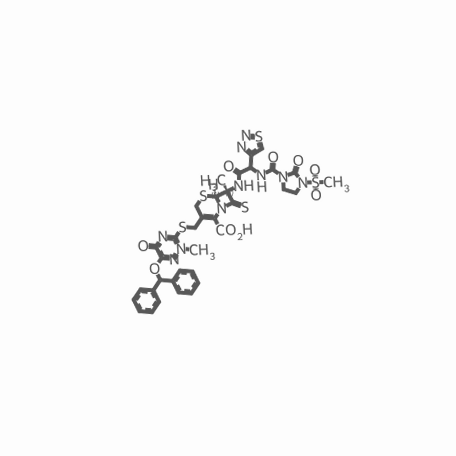 Cn1nc(OC(c2ccccc2)c2ccccc2)c(=O)nc1SCC1=C(C(=O)O)N2C(=S)[C@@](C)(NC(=O)C(NC(=O)N3CCN(S(C)(=O)=O)C3=O)c3csnn3)[C@@H]2SC1